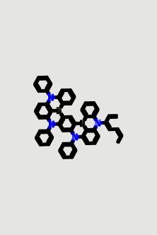 C=C/C(=C\C=C/C)N1c2ccccc2B2c3cc4c(cc3N(c3ccccc3)c3cccc1c32)N(c1ccccc1)c1cccc2c1B4c1ccccc1N2c1ccccc1